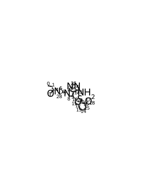 C=CC(=O)N1CC(n2cc(-c3cc4cccc(OC)c4s3)c3c(N)ncnc32)C1